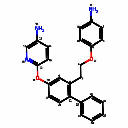 Nc1ccc(OCCc2cc(Oc3ccc(N)cn3)ccc2-c2ccccc2)cc1